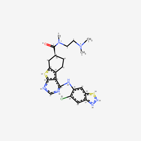 CCN(CCN(C)C)C(=O)[C@H]1CCc2c(sc3ncnc(Nc4cc5snnc5cc4Cl)c23)C1